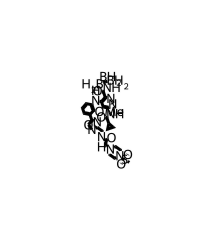 BC(B)(B)NC(=O)c1nnc(NC(=O)C2CC2)cc1Nc1cccc(-c2nc(CNC(=O)CN3CCN(S(C)(=O)=O)CC3)no2)c1OC